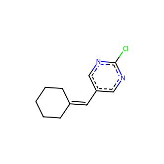 Clc1ncc(C=C2CCCCC2)cn1